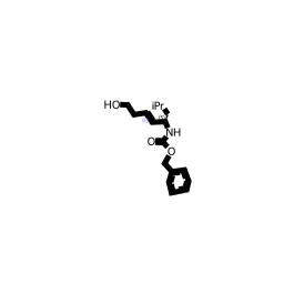 CC(C)C[C@@H](/C=C/CCO)NC(=O)OCc1ccccc1